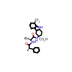 CCC(C)[C@H](NC(=O)[C@H](C)c1ccccc1)C(=O)N[C@]1(C(=O)O)CCc2[nH]c3c(C(F)(F)F)cccc3c2C1